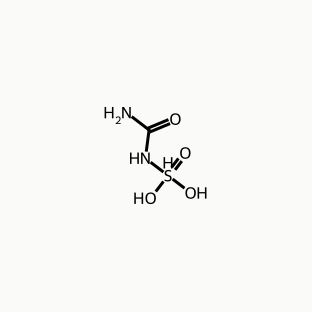 NC(=O)N[SH](=O)(O)O